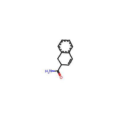 NC(=O)C1C=Cc2ccccc2C1